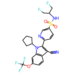 N#Cc1c(-c2ccc(S(=O)(=O)NC(CF)CF)cn2)n(C2CCCC2)c2cc(OC(F)(F)F)ccc12